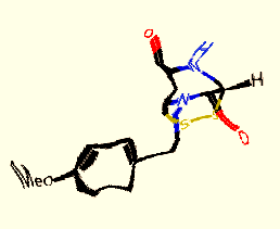 COC1=CC=C(CN2C(=O)[C@@H]3NC(=O)C2SS3)CC1